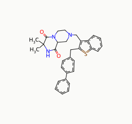 CC1(C)NC(=O)C2CN(Cc3c(Cc4ccc(-c5ccccc5)cc4)sc4ccccc34)CCN2C1=O